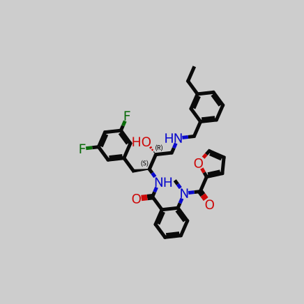 CCc1cccc(CNC[C@@H](O)[C@H](Cc2cc(F)cc(F)c2)NC(=O)c2ccccc2N(C)C(=O)c2ccco2)c1